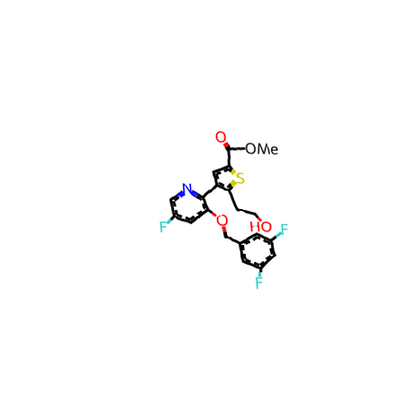 COC(=O)c1cc(-c2ncc(F)cc2OCc2cc(F)cc(F)c2)c(CCO)s1